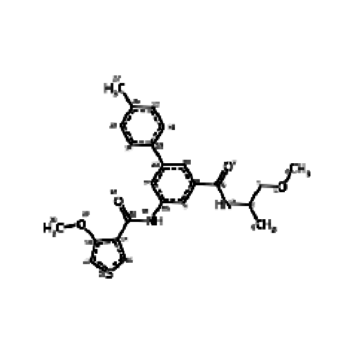 COCC(C)NC(=O)c1cc(NC(=O)c2cscc2OC)cc(-c2ccc(C)cc2)c1